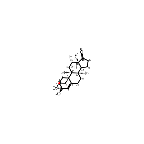 CCOC[C@]12CCC(=O)C=C1CC[C@@H]1[C@@H]2CC[C@]2(C)C(=O)CC[C@@H]12